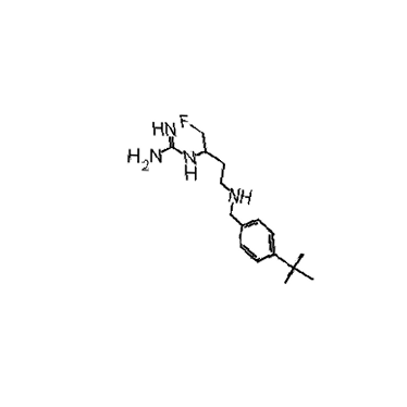 CC(C)(C)c1ccc(CNCCC(CF)NC(=N)N)cc1